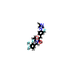 Cc1cn(-c2ccc(C=C3OC(C)(C)CN([C@@H](C)c4ccc(F)c(F)c4F)C3=O)cc2F)cn1